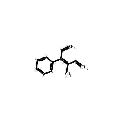 C=C/C(C)=C(\C=C)c1ccccc1